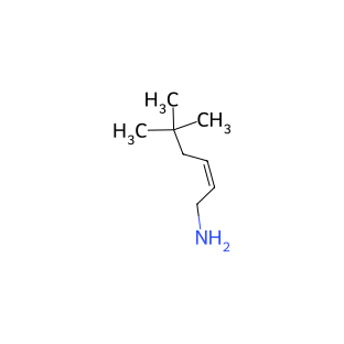 CC(C)(C)C/C=C\CN